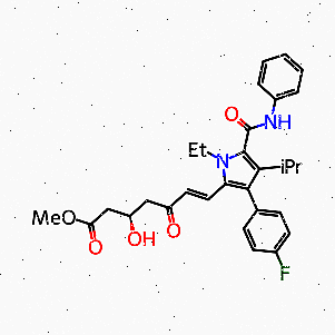 CCn1c(C=CC(=O)C[C@@H](O)CC(=O)OC)c(-c2ccc(F)cc2)c(C(C)C)c1C(=O)Nc1ccccc1